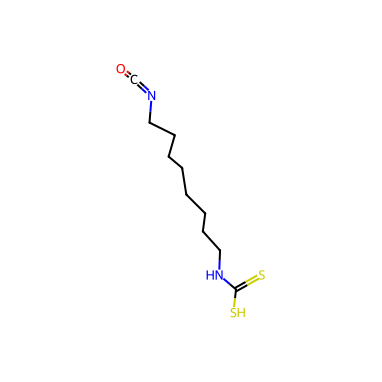 O=C=NCCCCCCCCNC(=S)S